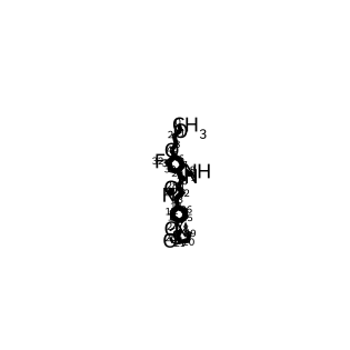 COCCOc1cc2[nH]nc(-c3cc(-c4ccc(N5CCCS5(=O)=O)cc4)no3)c2cc1F